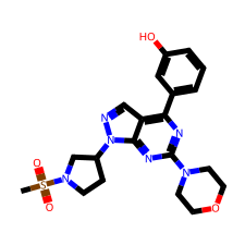 CS(=O)(=O)N1CCC(n2ncc3c(-c4cccc(O)c4)nc(N4CCOCC4)nc32)C1